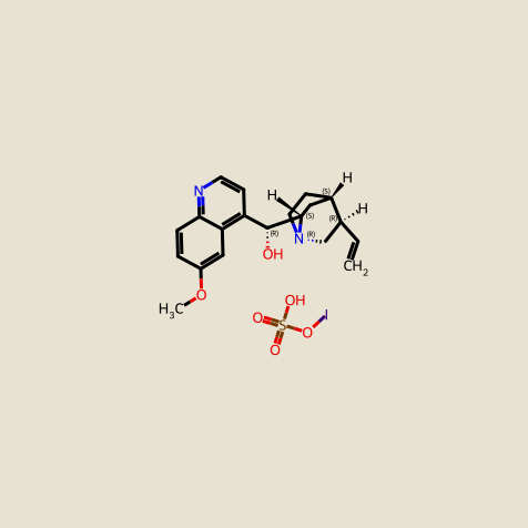 C=C[C@H]1C[N@]2CC[C@H]1C[C@H]2[C@H](O)c1ccnc2ccc(OC)cc12.O=S(=O)(O)OI